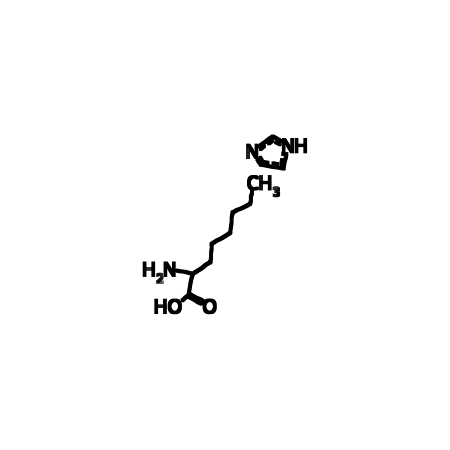 CCCCCCC(N)C(=O)O.c1c[nH]cn1